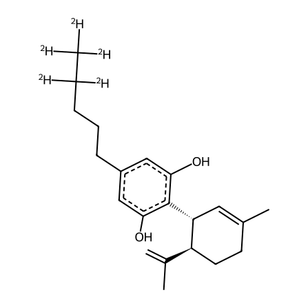 [2H]C([2H])([2H])C([2H])([2H])CCCc1cc(O)c([C@@H]2C=C(C)CC[C@H]2C(=C)C)c(O)c1